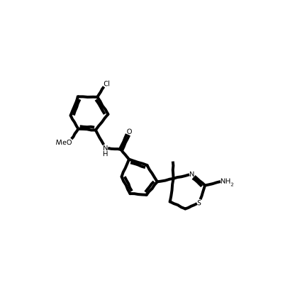 COc1ccc(Cl)cc1NC(=O)c1cccc(C2(C)CCSC(N)=N2)c1